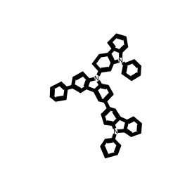 C1=C(n2c3ccc(-c4ccccc4)cc3c3cc(-c4ccc5c(c4)c4ccccc4n5-c4ccccc4)ccc32)CCc2c1n(-c1ccccc1)c1ccccc21